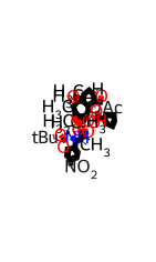 CC(=O)O[C@@]12CO[C@@H]1C[C@H](C)[C@@]1(C)C(=O)[C@H](C)C3=C(C)[C@@H](OC(=O)[C@H](C)C(NC(=O)OC(C)(C)C)c4ccc([N+](=O)[O-])cc4)C[C@@](O)([C@@H](OC(=O)c4ccccc4)[C@H]21)C3(C)C